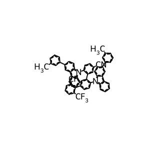 Cc1cccc(-c2ccc3c(c2)c2ccccc2n3-c2ccc(C#N)cc2-c2cc(-c3c(C(F)(F)F)cccc3C(F)(F)F)ccc2-n2c3ccccc3c3cc(-c4cccc(C)c4)ccc32)c1